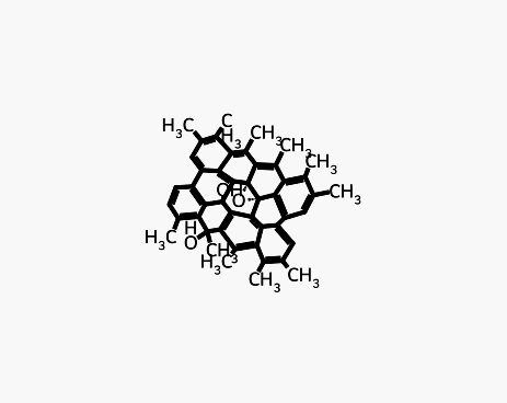 CC1=C2C(C)=c3c(C)c(C)cc4c3=C3[C@]5(O)c6c-4ccc(C)c6C(C)(O)c4c5c5c6c(cc(C)c(C)c6c4C)-c4cc(C)c(C)c1c4[C@@]51O[C@@]231